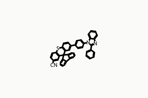 N#Cc1ccc2c(c1)C1(c3cc(-c4ccc(-n5c(-c6ccccc6)nc6ccccc65)cc4)ccc3S2)c2ccccc2-c2ccccc21